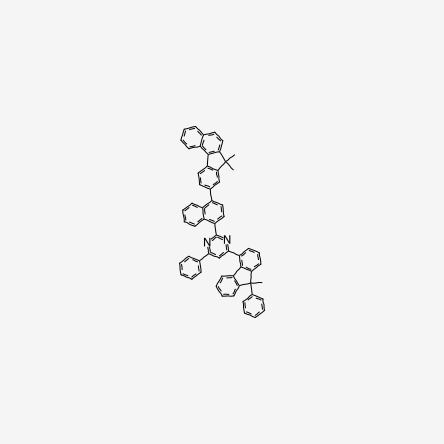 CC1(C)c2cc(-c3ccc(-c4nc(-c5ccccc5)cc(-c5cccc6c5-c5ccccc5C6(C)c5ccccc5)n4)c4ccccc34)ccc2-c2c1ccc1ccccc21